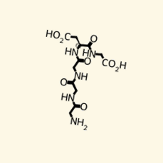 NCC(=O)NCC(=O)NCC(=O)N[C@@H](CC(=O)O)C(=O)NCC(=O)O